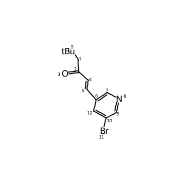 CC(C)(C)CC(=O)/C=C/c1cncc(Br)c1